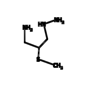 CSC(CN)CNN